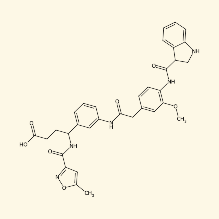 COc1cc(CC(=O)Nc2cccc(C(CCC(=O)O)NC(=O)c3cc(C)on3)c2)ccc1NC(=O)C1CNc2ccccc21